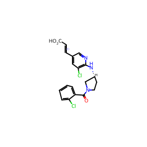 O=C(O)/C=C/c1cnc(N[C@@H]2CCN(C(=O)c3ccccc3Cl)C2)c(Cl)c1